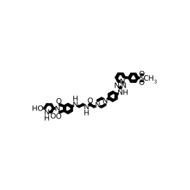 CS(=O)(=O)c1ccc(-c2cccc3nc(Nc4ccc(N5CCN(CC(=O)NCCNc6ccc7c(c6)C(=O)N(C6CCC(O)NC6=O)C7=O)CC5)cc4)nn23)cc1